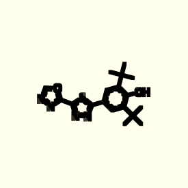 CC(C)(C)c1cc(-c2nnc(-c3nnco3)s2)cc(C(C)(C)C)c1O